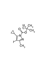 Cc1nn(C(=O)OC(C)(C)C)c(C2CC2)c1I